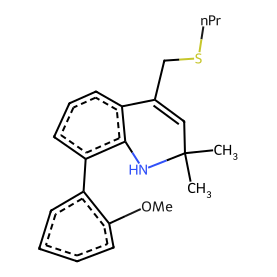 CCCSCC1=CC(C)(C)Nc2c1cccc2-c1ccccc1OC